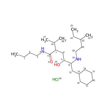 CCCCNC(=O)C(CC(O)C(CC1CCCCC1)NCCC(C)CC)C(C)C.Cl